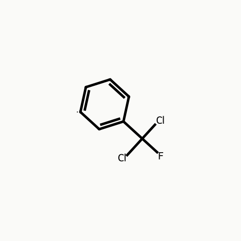 FC(Cl)(Cl)c1c[c]ccc1